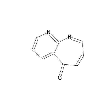 O=c1cccnc2ncccc12